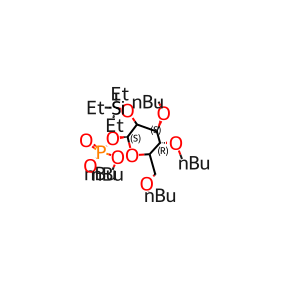 CCCCOCC1O[C@@H](OP(=O)(OCCCC)OCCCC)C(O[Si](CC)(CC)CC)[C@@H](OCCCC)[C@@H]1OCCCC